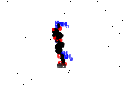 CN(C(=O)[C@@]1(C)CCCC2(C)c3cc(NC(=O)CN)ccc3CCC21)C(=O)[C@@]1(C)CCCC2(C)c3cc(NC(=O)C(N)CCC(=O)OC(C)(C)C)ccc3CCC21